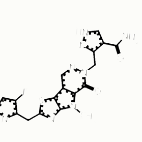 Cn1c2nc(Cc3n[nH]cc3F)sc2c2cnn(Cc3n[nH]cc3C(N)=O)c(=O)c21